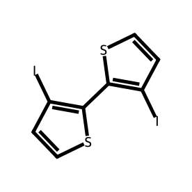 Ic1ccsc1-c1sccc1I